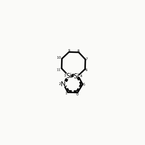 c1cn[si]2[si](c1)CCCCCC2